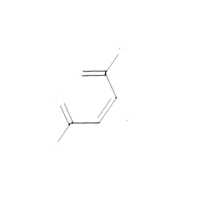 O=C([O-])/C=C\C(=O)[O-].[Fe+2]